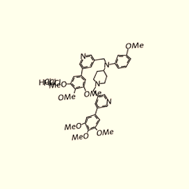 COc1cccc(N(Cc2cncc(-c3cc(OC)c(OC)c(OC)c3)c2)C2CCN(Cc3cncc(-c4cc(OC)c(OC)c(OC)c4)c3)CC2)c1.Cl.Cl.Cl